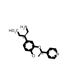 C[C@@H](Oc1cc([C@H](CN)CC(=O)O)ccc1Cl)c1ccncc1